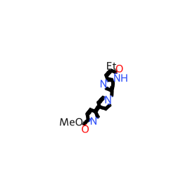 CCc1cc2ncc(CN3C=CC(=C4C=CC(C(=O)OC)N=C4)CC3)cc2[nH]c1=O